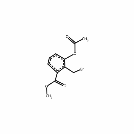 COC(=O)c1cccc(OC(C)=O)c1CBr